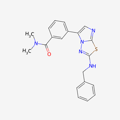 CN(C)C(=O)c1cccc(-c2cnc3sc(NCc4ccccc4)nn23)c1